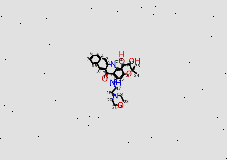 Cn1c2cc3ccccc3cc2c(=O)c2c(NCCN3CCOCC3)cc3c(c21)[C@@H](O)[C@@H](O)C(C)(C)O3